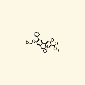 CCOC(=O)c1cn2c(cc1=O)-c1cc(C3=CCCC3)c(OCC3CC3)cc1CC21CCC1